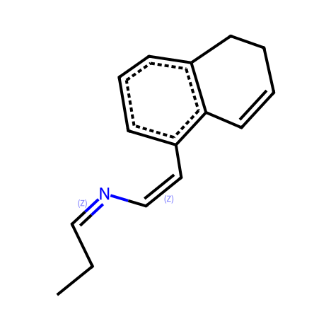 CC/C=N\C=C/c1cccc2c1C=CCC2